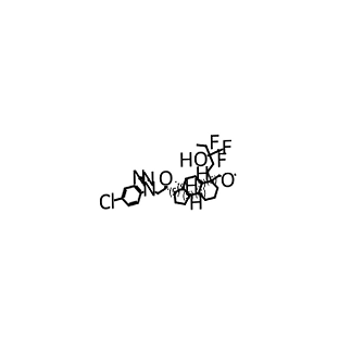 CCC(O)(CC[C@@]1(COC)CCC[C@@H]2[C@@H]1CC[C@]1(C)[C@@H](C(=O)Cn3nnc4cc(Cl)ccc43)CC[C@@H]21)C(F)(F)F